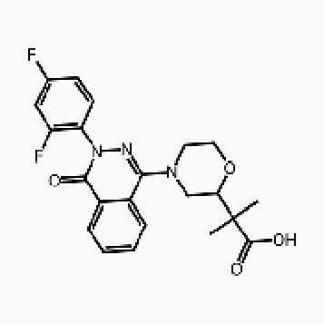 CC(C)(C(=O)O)C1CN(c2nn(-c3ccc(F)cc3F)c(=O)c3ccccc23)CCO1